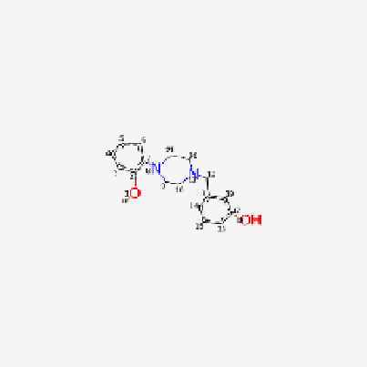 COc1ccccc1N1CCN(Cc2cccc(O)c2)CC1